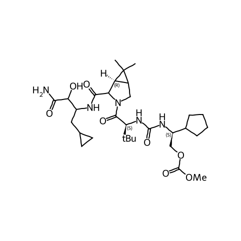 COC(=O)OC[C@@H](NC(=O)N[C@H](C(=O)N1CC2[C@@H](C1C(=O)NC(CC1CC1)C(O)C(N)=O)C2(C)C)C(C)(C)C)C1CCCC1